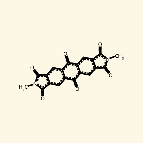 Cn1c(=O)c2cc3c(=O)c4cc5c(=O)n(C)c(=O)c5cc4c(=O)c3cc2c1=O